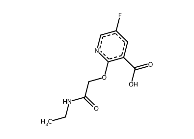 CCNC(=O)COc1ncc(F)cc1C(=O)O